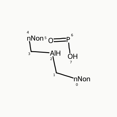 CCCCCCCCC[CH2][AlH][CH2]CCCCCCCCC.O=PO